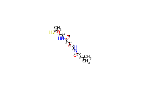 CC(C)CCC(=O)NCCOCCC(=O)NCCO[C@H](C)S